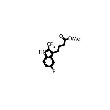 COC(=O)CCCc1c(C(F)(F)F)[nH]c2ccc(F)cc12